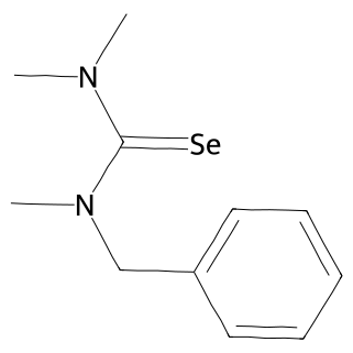 CN(C)C(=[Se])N(C)Cc1ccccc1